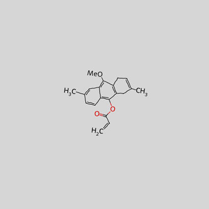 C=CC(=O)Oc1c2c(c(OC)c3cc(C)ccc13)CC=C(C)C2